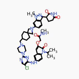 CNC(=O)COc1cc2cc(Nc3nc(N4CCN(CC5CCC6(CC5)CN(c5ccc7c(C8CCC(=O)NC8=O)nn(C)c7c5)C6)CC4)ncc3Cl)ccc2n(C(C)C)c1=O